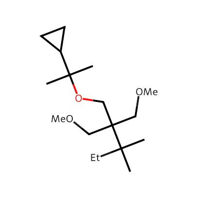 CCC(C)(C)C(COC)(COC)COC(C)(C)C1CC1